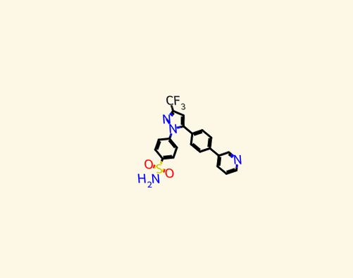 NS(=O)(=O)c1ccc(-n2nc(C(F)(F)F)cc2-c2ccc(-c3cccnc3)cc2)cc1